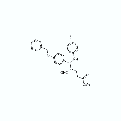 COC(=O)CCC(C=O)C(Nc1ccc(F)cc1)c1ccc(OCc2ccccc2)cc1